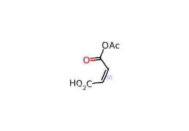 CC(=O)OC(=O)/C=C\C(=O)O